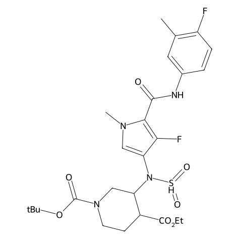 CCOC(=O)C1CCN(C(=O)OC(C)(C)C)CC1N(c1cn(C)c(C(=O)Nc2ccc(F)c(C)c2)c1F)[SH](=O)=O